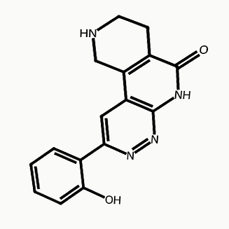 O=c1[nH]c2nnc(-c3ccccc3O)cc2c2c1CCNC2